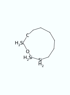 C1CCC[SiH2]O[SiH2][SiH2]CCC1